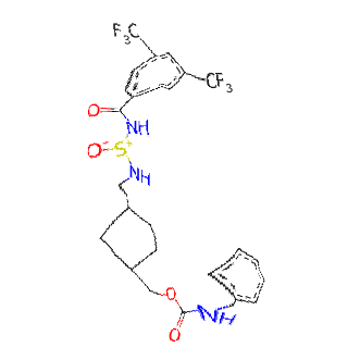 O=C(Nc1ccccc1)OCC1CCC(CN[S+]([O-])NC(=O)c2cc(C(F)(F)F)cc(C(F)(F)F)c2)CC1